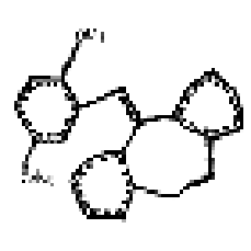 COc1ccc(OC)c(C=C2c3ccccc3CCc3ccccc32)c1